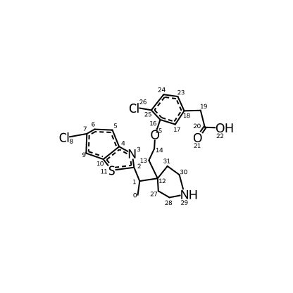 CC(c1nc2ccc(Cl)cc2s1)C1(CCOc2cc(CC(=O)O)ccc2Cl)CCNCC1